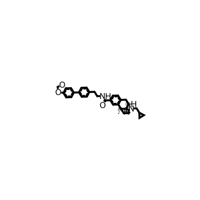 C[C@H]1[C@H]2Cc3ccc(C(=O)NCCc4ccc(-c5ccc6c(c5)OCO6)cc4)cc3[C@]1(C)CCN2CC1CC1